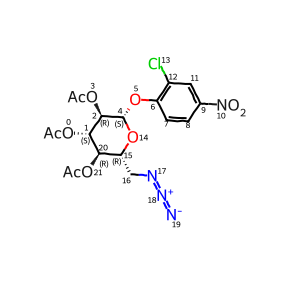 CC(=O)O[C@@H]1[C@@H](OC(C)=O)[C@H](Oc2ccc([N+](=O)[O-])cc2Cl)O[C@H](CN=[N+]=[N-])[C@H]1OC(C)=O